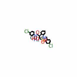 O=C(Nc1ccc(Cl)cc1C(=O)O)C1=C(O)CS(=O)(=O)N(Cc2ccc(Cl)cc2)c2ccccc21